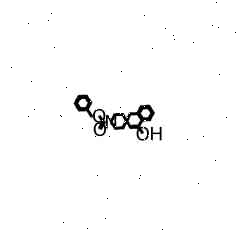 O=C(OCc1ccccc1)N1CCC2(C=C(O)c3ccccc3C2)CC1